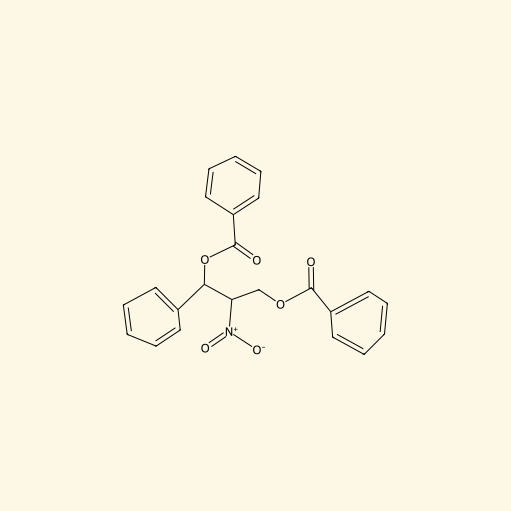 O=C(OCC(C(OC(=O)c1ccccc1)c1ccccc1)[N+](=O)[O-])c1ccccc1